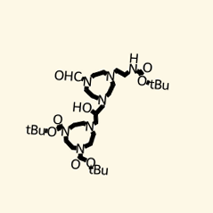 CC(C)(C)OC(=O)NCCN1CCN(C=O)CCN(CC(O)CN2CCN(C(=O)OC(C)(C)C)CCN(C(=O)OC(C)(C)C)CC2)CC1